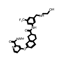 CNC(=O)c1cc(Oc2ccc3c(c2)CC(C(=O)Nc2cc(CNCCO)cc(C(F)(F)F)c2)CC3)ccn1